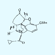 COc1ccc2c3c1O[C@@H]1C(=O)CC[C@@H]4[C@H](C2)N(C(=O)C2CC2)CCC314